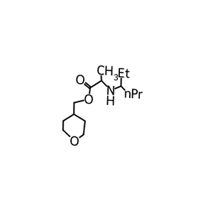 CCCC(CC)NC(C)C(=O)OCC1CCOCC1